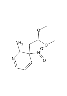 COC(CC1([N+](=O)[O-])C=CC=NC1N)OC